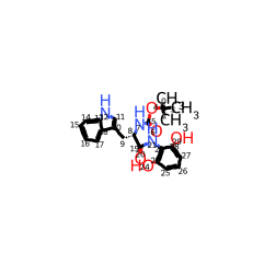 CC(C)(C)OC(=O)N[C@@H](Cc1c[nH]c2ccccc12)C(=O)Nc1c(O)cccc1O